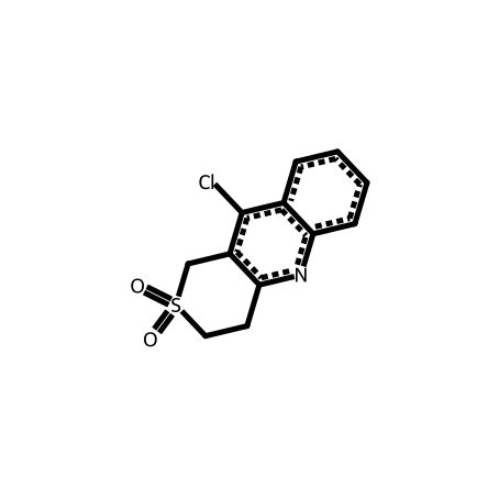 O=S1(=O)CCc2nc3ccccc3c(Cl)c2C1